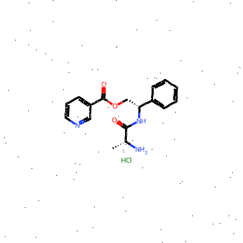 C[C@@H](N)C(=O)N[C@H](COC(=O)c1cccnc1)c1ccccc1.Cl